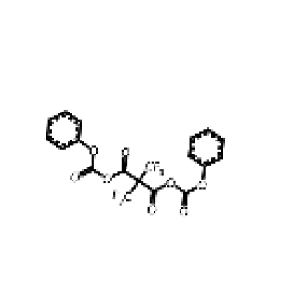 O=C(OC(=O)C(C(=O)OC(=O)Oc1ccccc1)(C(F)(F)F)C(F)(F)F)Oc1ccccc1